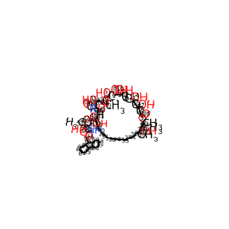 CO[C@]12C[C@@H](O)C[C@@H](O)[C@H](O)CC[C@@H](O)C[C@@H](O)CC(=O)O[C@@H](C)[C@H](C)[C@H](O)[C@@H](C)/C=C/C=C/C=C/C=C/C=C/C=C/C=C/[C@H](OC3OC(C)C(O)C(NC(=O)OCC4c5ccccc5-c5ccccc54)C3O)C[C@H](O1)[C@H](N=C=O)[C@@H](O)C2